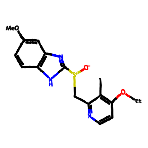 CCOc1ccnc(C[S+]([O-])c2nc3cc(OC)ccc3[nH]2)c1C